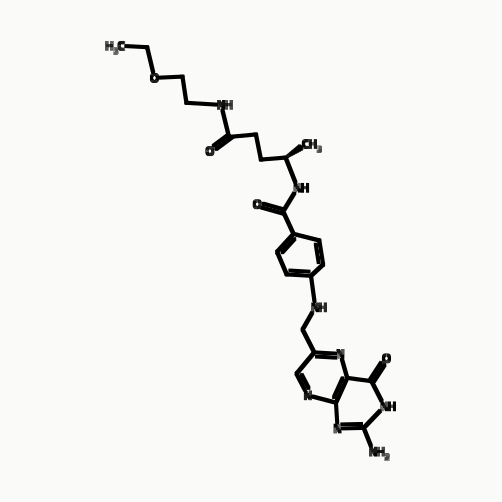 CCOCCNC(=O)CC[C@@H](C)NC(=O)c1ccc(NCc2cnc3nc(N)[nH]c(=O)c3n2)cc1